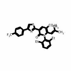 CCc1cccc(CC)c1-n1c(C=C(C)C)c(C(=O)O)cc(-c2nc(-c3ccc(C(F)(F)F)cc3)cs2)c1=O